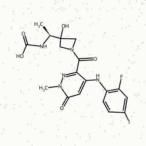 C[C@H](NC(=O)O)C1(O)CN(C(=O)c2nn(C)c(=O)cc2Nc2ccc(I)cc2F)C1